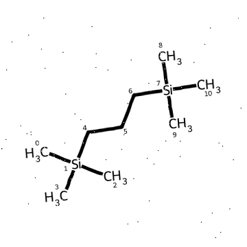 C[Si](C)(C)CCC[Si](C)(C)C